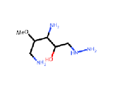 COC(CN)C(N)C(O)CNN